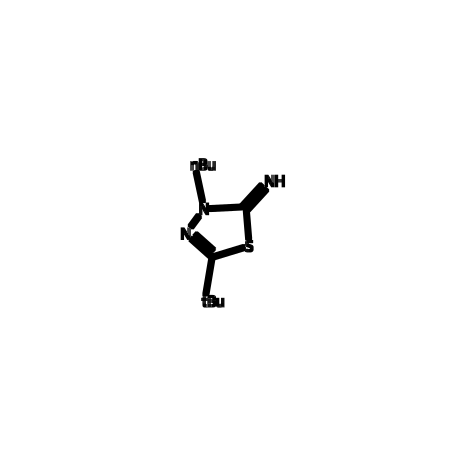 CCCCn1nc(C(C)(C)C)sc1=N